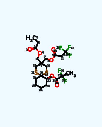 CCC(=O)OCC1(COC(=O)CC(F)(F)F)CSC2(CCCCC2OC(=O)C(C)(F)F)SC1